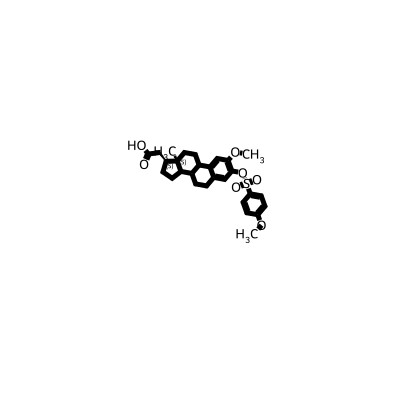 COc1ccc(S(=O)(=O)Oc2cc3c(cc2OC)C2CC[C@]4(C)C(CC[C@H]4CC(=O)O)C2CC3)cc1